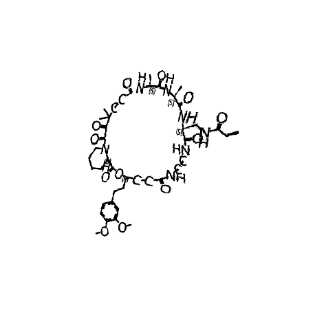 C=CC(=O)NC[C@@H]1NC(=O)[C@H](C)NC(=O)[C@H](C)NC(=O)CCC(C)(C)C(=O)C(=O)N2CCCC[C@H]2C(=O)O[C@H](CCc2ccc(OC)c(OC)c2)CCC(=O)NCCNC1=O